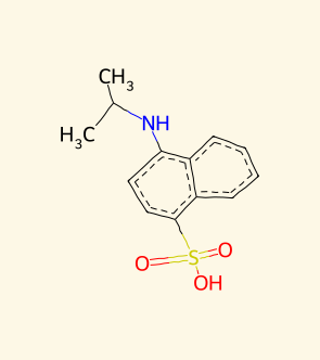 CC(C)Nc1ccc(S(=O)(=O)O)c2ccccc12